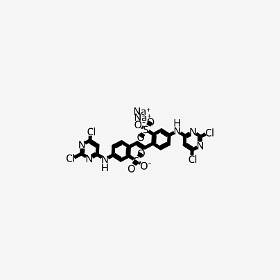 O=S(=O)([O-])c1cc(Nc2cc(Cl)nc(Cl)n2)ccc1C=Cc1ccc(Nc2cc(Cl)nc(Cl)n2)cc1S(=O)(=O)[O-].[Na+].[Na+]